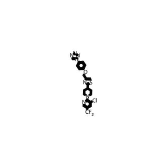 FC(F)(F)c1cnc(N2CCC(c3nc(COc4ccc(-n5cnnn5)cc4)cs3)CC2)c(Cl)c1